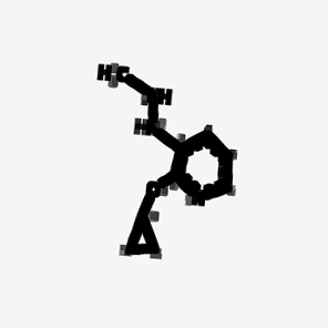 CNNc1cccnc1OC1CC1